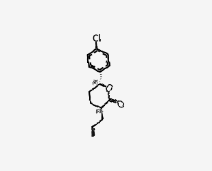 C=CC[C@H]1CC[C@H](c2ccc(Cl)cc2)OC1=O